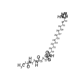 CCC(=O)NCCNC(=O)CCCS(=O)(=O)NC(=O)CCCCCCCCCCCCCCCc1nnn[nH]1